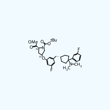 COC(=O)[C@@H]1C[C@H](Oc2cc(F)cc(C[C@H]3CC[C@](c4cccc(F)c4)(N(C)C)CC3)c2)CN1C(=O)OC(C)(C)C